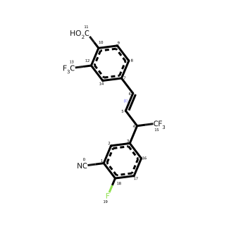 N#Cc1cc(C(/C=C/c2ccc(C(=O)O)c(C(F)(F)F)c2)C(F)(F)F)ccc1F